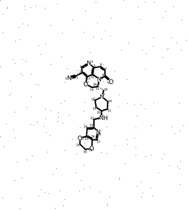 N#Cc1cnc2ccc(=O)n3c2c1OC[C@H]3CN1CCC(NCc2cc3c(cn2)OCCO3)CC1